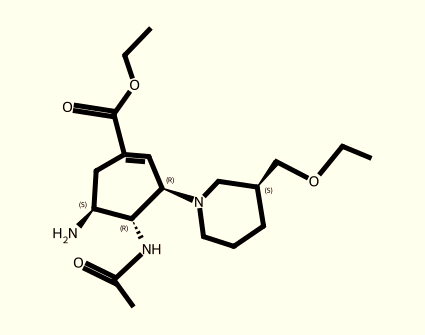 CCOC[C@H]1CCCN([C@@H]2C=C(C(=O)OCC)C[C@H](N)[C@H]2NC(C)=O)C1